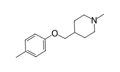 Cc1ccc(OCC2CCN(C)CC2)cc1